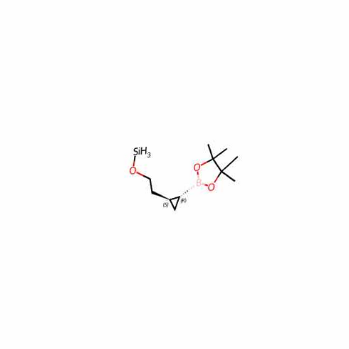 CC1(C)OB([C@@H]2C[C@H]2CCO[SiH3])OC1(C)C